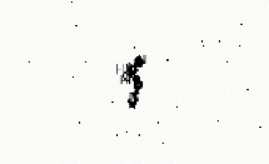 CN1CCN(CCc2ccc3cc(-c4cc(-c5ccncc5)n[nH]c4=O)[nH]c3c2)CC1